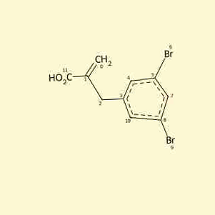 C=C(Cc1cc(Br)cc(Br)c1)C(=O)O